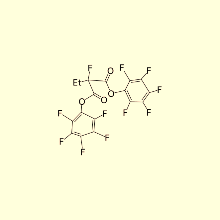 CCC(F)(C(=O)Oc1c(F)c(F)c(F)c(F)c1F)C(=O)Oc1c(F)c(F)c(F)c(F)c1F